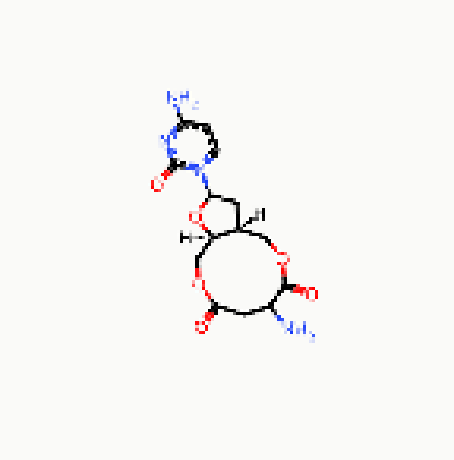 Nc1ccn([C@H]2C[C@@H]3COC(=O)C(N)CC(=O)OC[C@H]3O2)c(=O)n1